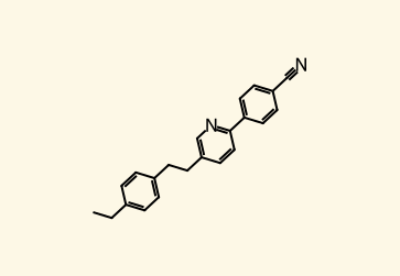 CCc1ccc(CCc2ccc(-c3ccc(C#N)cc3)nc2)cc1